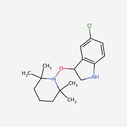 CC1(C)CCCC(C)(C)N1OC1CNc2ccc(Cl)cc21